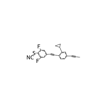 CC#Cc1ccc(C#Cc2cc(F)c(SC#N)c(F)c2)c(C2CC2)c1